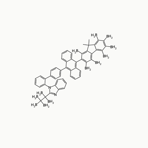 Bc1c(B)c(B)c2c(c1B)-c1c(B)c(B)c(-c3c4ccccc4c(-c4ccc(-c5ccccc5-n5c(C(B)(B)C(B)(B)B)nc6ccccc65)cc4)c4ccccc34)c(B)c1C2(C)C